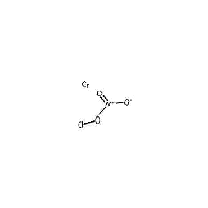 O=[N+]([O-])OCl.[Cr]